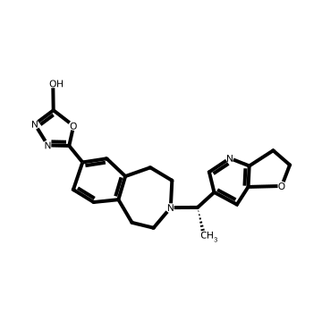 C[C@@H](c1cnc2c(c1)OCC2)N1CCc2ccc(-c3nnc(O)o3)cc2CC1